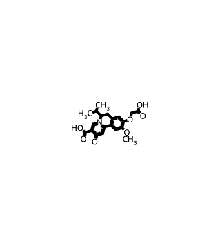 COc1cc2c(cc1OCC(=O)O)CC(C(C)C)n1cc(C(=O)O)c(=O)cc1-2